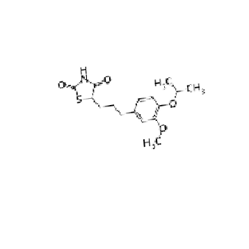 COc1cc(CCCC2SC(=O)NC2=O)ccc1OC(C)C